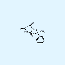 C[N+](C)(CN1C(=O)CC(=S)NC1=O)c1ccccc1